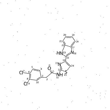 O=C(Cc1ccc(Cl)c(Cl)c1)Nc1nc(-c2nc3ccccc3[nH]2)cs1